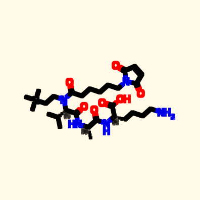 CC(C)[C@@H](C(=O)N[C@@H](C)C(=O)N[C@@H](CCCCN)C(=O)O)N(CC[Si](C)(C)C)C(=O)CCCCCN1C(=O)C=CC1=O